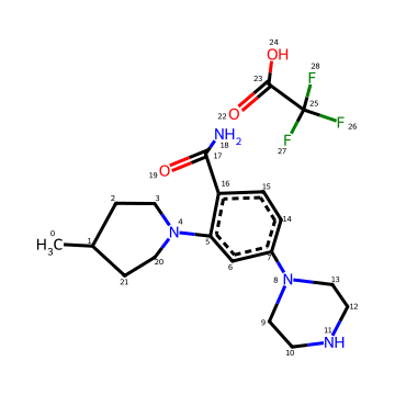 CC1CCN(c2cc(N3CCNCC3)ccc2C(N)=O)CC1.O=C(O)C(F)(F)F